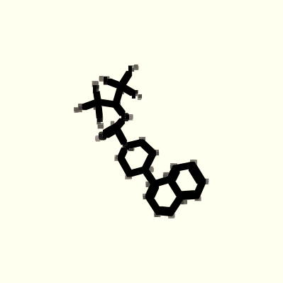 O=C(OC(C(F)(F)F)C(F)(F)F)N1CCC(c2cccc3ccccc23)CC1